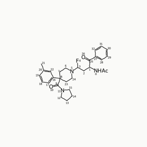 CC(=O)NC(CC(F)N1CCC(C(=O)N2CCCC2)(c2cccc(C)c2)CC1)C(=O)c1ccccc1